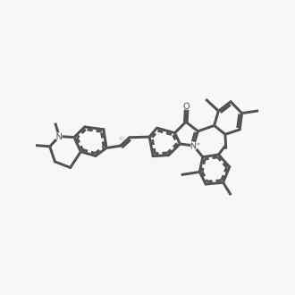 CC1=CC(C)C(C2=[N+](c3c(C)cc(C)cc3C)c3ccc(/C=C/c4ccc5c(c4)CCC(C)N5C)cc3C2=O)C(C)=C1